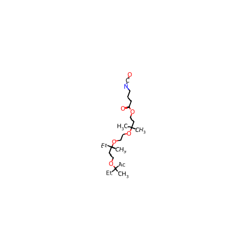 CCC(C)(CCOC(C)(CC)C(C)=O)OCCOC(C)(C)CCOC(=O)CCCN=C=O